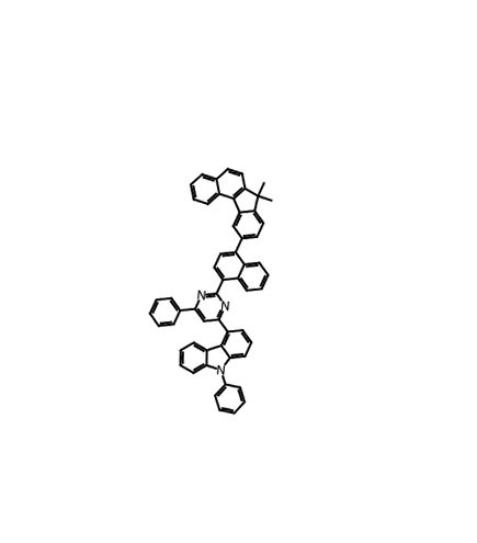 CC1(C)c2ccc(-c3ccc(-c4nc(-c5ccccc5)cc(-c5cccc6c5c5ccccc5n6-c5ccccc5)n4)c4ccccc34)cc2-c2c1ccc1ccccc21